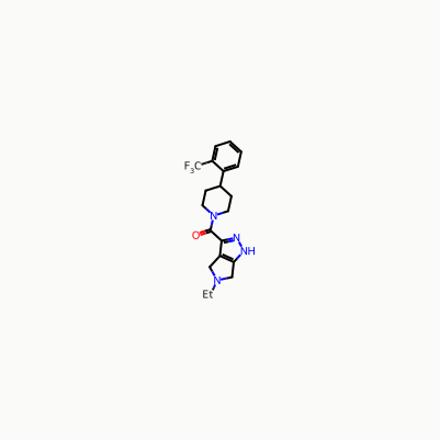 CCN1Cc2[nH]nc(C(=O)N3CCC(c4ccccc4C(F)(F)F)CC3)c2C1